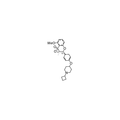 COc1cccc2c1S(=O)(=O)[C@@H](C)[C@H](C1C=CC(OC3CCN(C4CCC4)CC3)=CC1)O2